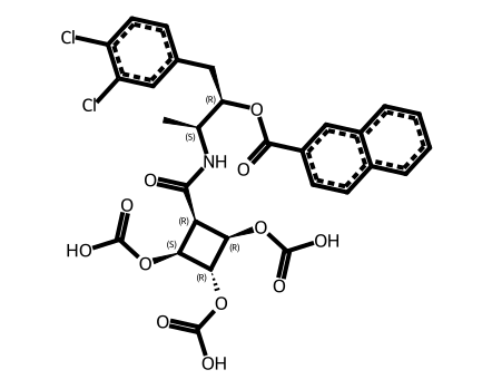 C[C@H](NC(=O)[C@@H]1[C@H](OC(=O)O)[C@@H](OC(=O)O)[C@@H]1OC(=O)O)[C@@H](Cc1ccc(Cl)c(Cl)c1)OC(=O)c1ccc2ccccc2c1